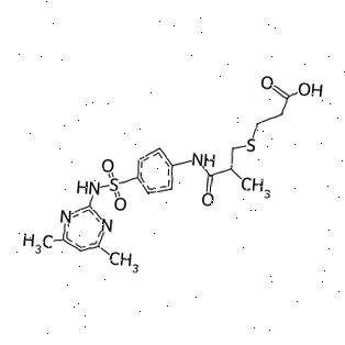 Cc1cc(C)nc(NS(=O)(=O)c2ccc(NC(=O)C(C)CSCCC(=O)O)cc2)n1